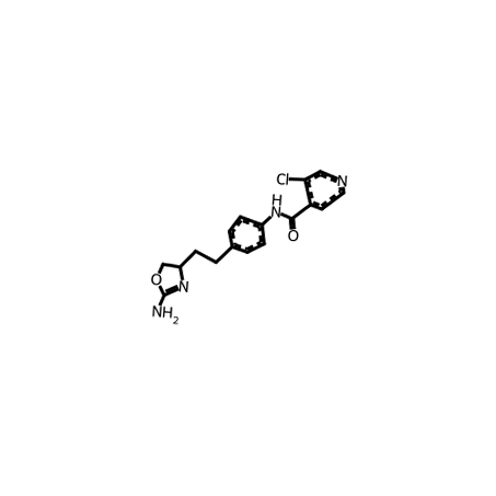 NC1=NC(CCc2ccc(NC(=O)c3ccncc3Cl)cc2)CO1